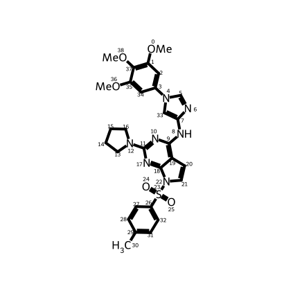 COc1cc(-n2cnc(Nc3nc(N4CCCC4)nc4c3ccn4S(=O)(=O)c3ccc(C)cc3)c2)cc(OC)c1OC